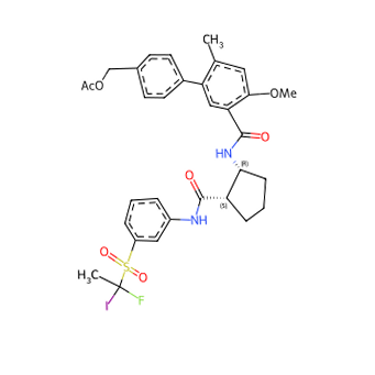 COc1cc(C)c(-c2ccc(COC(C)=O)cc2)cc1C(=O)N[C@@H]1CCC[C@@H]1C(=O)Nc1cccc(S(=O)(=O)C(C)(F)I)c1